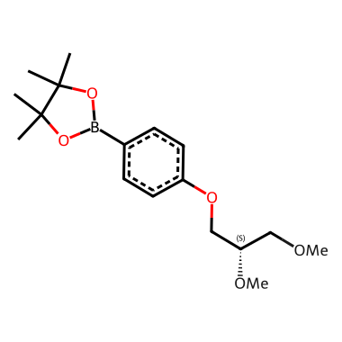 COC[C@@H](COc1ccc(B2OC(C)(C)C(C)(C)O2)cc1)OC